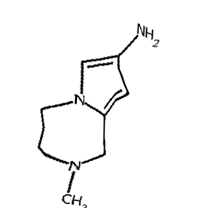 CN1CCn2cc(N)cc2C1